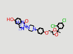 C[C@@]1(c2ccc(Cl)cc2Cl)OC[C@@H](COc2ccc(N3CCN(N(/N=C\c4cccc(O)c4)C(N)=O)CC3)cc2)O1